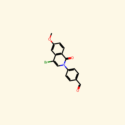 COc1ccc2c(=O)n(-c3ccc(C=O)cc3)cc(Br)c2c1